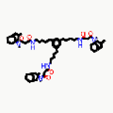 CC1C=C2CCCC(N(C)C(=O)CC(=O)NCCCCCc3cc(CCCCCNC(=O)CC(=O)N(C)C4(C)CC5CCCC(C5)C4)cc(CCCCCNC(=O)CC(=O)N(C)C45CCCC(CC(C)C4)C5)c3)(C2)C1